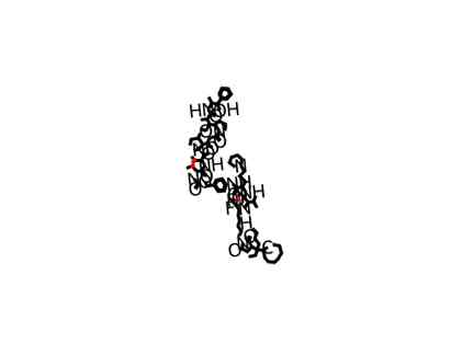 CCCCC(CC)(C1CCCCCCCC1)C1CC(=O)N(CCCCCC(NC(C(=O)NC(CCCN2CCCCC2)C(=O)Nc2ccc(COC(=O)N(C)C(C(=O)NC(C(=O)N(C)C(C(C)CC)C(CC(=O)N3CCCC3C(OC)C(C)C(=O)NC(C)C(O)c3ccccc3)OC)C(C)C)C(C)C)cc2)C(C)C)C(F)(F)F)C1=O